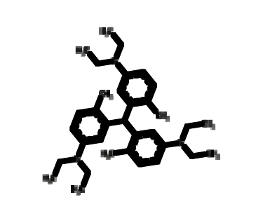 CCN(CC)c1ccc(C)c(C(c2cc(N(CC)CC)ccc2C)c2cc(N(CC)CC)ccc2C)c1